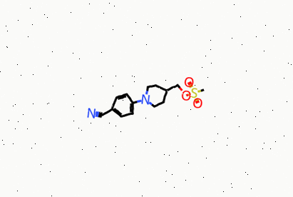 CS(=O)(=O)OCC1CCN(c2ccc(C#N)cc2)CC1